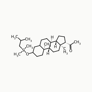 CC(=O)[C@H]1CC[C@H]2[C@@H]3CCC4CC(O[Si](C)(C)CC(C)C)CC[C@]4(C)[C@H]3CC[C@]12C